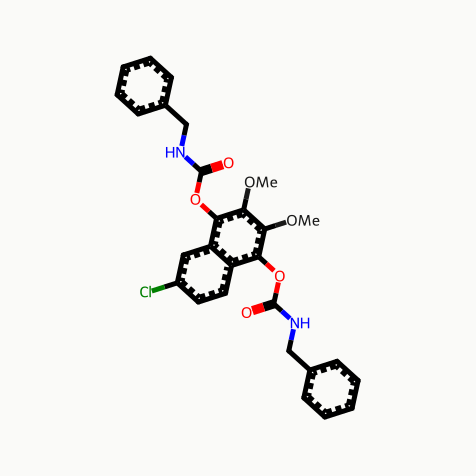 COc1c(OC)c(OC(=O)NCc2ccccc2)c2cc(Cl)ccc2c1OC(=O)NCc1ccccc1